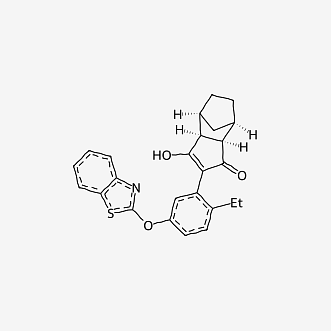 CCc1ccc(Oc2nc3ccccc3s2)cc1C1=C(O)[C@H]2[C@H]3CC[C@H](C3)[C@H]2C1=O